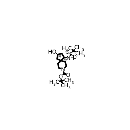 CC(C)(C)OC(=O)N1CCC2(CC1)C[C@@H](O)C[C@H]2NS(=O)(=O)C(C)(C)C